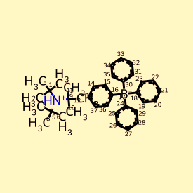 CC(C)(C)[NH+](C(C)(C)C)C(C)(C)C.c1ccc([B-](c2ccccc2)(c2ccccc2)c2ccccc2)cc1